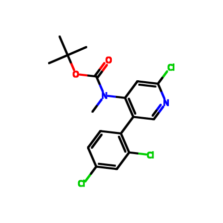 CN(C(=O)OC(C)(C)C)c1cc(Cl)ncc1-c1ccc(Cl)cc1Cl